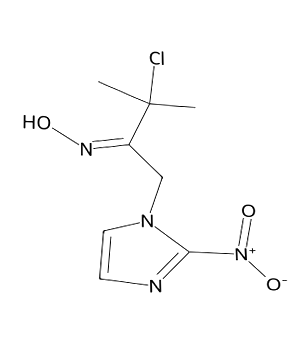 CC(C)(Cl)C(Cn1ccnc1[N+](=O)[O-])=NO